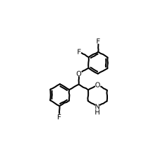 Fc1cccc(C(Oc2cccc(F)c2F)C2CNCCO2)c1